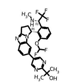 CN[C@@H](c1cccc(OC(F)F)c1[C@H]1CCc2nc3ccc(-c4cnc(C(C)(C)O)nc4)cc3n21)C(F)(F)F